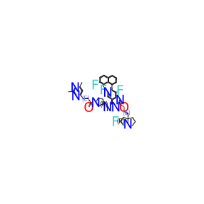 Cc1cc(/C=C/C(=O)N2CC[C@@H](N(C)c3nc(O/C=C/C45CCCN4C[C@H](F)C5)nc4c(F)c(-c5cccc6ccc(F)c(F)c56)ncc34)C2)nc(C)n1